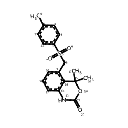 Cc1ccc(S(=O)(=O)Cc2cccc3c2C(C)(C)OC(=O)N3)cc1